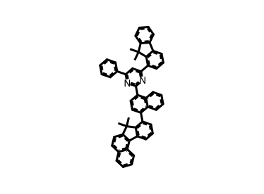 CC1(C)c2ccccc2-c2cccc(-c3cc(-c4ccccc4)nc(-c4ccc(-c5cccc6c5C(C)(C)c5ccc7ccccc7c5-6)c5ccccc45)n3)c21